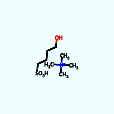 C[N+](C)(C)C.O=S(=O)(O)CCCCO